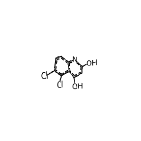 Oc1cc(O)c2c(Cl)c(Cl)ccc2n1